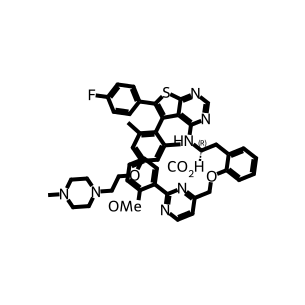 COc1ccccc1-c1nccc(COc2ccccc2C[C@@H](Nc2ncnc3sc(-c4ccc(F)cc4)c(-c4c(C)cc(OCCN5CCN(C)CC5)cc4C)c23)C(=O)O)n1